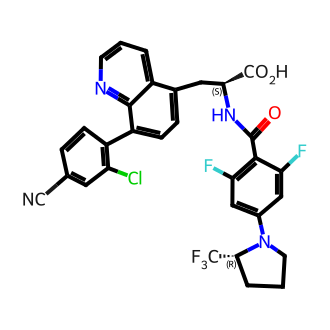 N#Cc1ccc(-c2ccc(C[C@H](NC(=O)c3c(F)cc(N4CCC[C@@H]4C(F)(F)F)cc3F)C(=O)O)c3cccnc23)c(Cl)c1